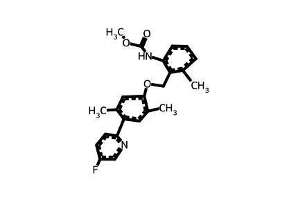 COC(=O)Nc1cccc(C)c1COc1cc(C)c(-c2ccc(F)cn2)cc1C